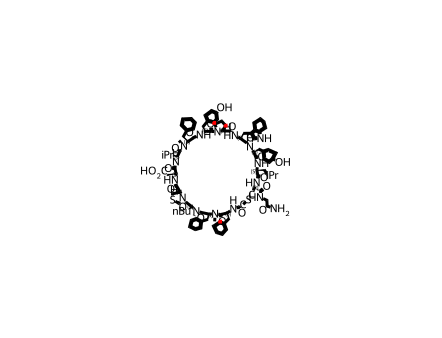 CCCC[C@H]1C(=O)N2CSC[C@@H]2C(=O)N[C@@H](CC(=O)O)C(=O)N[C@@H](C(C)C)C(=O)N(C)[C@@H](Cc2ccccc2)C(=O)N[C@@H](Cc2ccc(O)cc2)C(=O)N2CCC[C@@H]2C(=O)N[C@@H](Cc2c[nH]c3ccccc23)C(=O)N[C@@H](Cc2ccc(O)cc2)C(=O)N[C@@H](CC(C)C)C(=O)N[C@H](C(=O)NCC(N)=O)CSCC(=O)N[C@@H](Cc2ccccc2)C(=O)N(C)[C@@H](Cc2ccccc2)C(=O)N1C